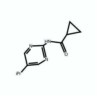 CC(C)c1cnc(NC(=O)C2CC2)nc1